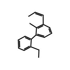 C/C=C\c1cccc(-c2ccccc2CC)c1C